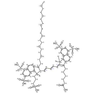 COCCOCCOCCOCCOCCOCCN1c2ccc3c(S(=O)(=O)O)cc(S(=O)(=O)O)cc3c2C(C)(CCCS(=O)(=O)O)C1/C=C/C=C/C=C1/N(CCCCCC(=O)O)c2ccc3c(S(=O)(=O)O)cc(S(=O)(=O)O)cc3c2C1(C)C